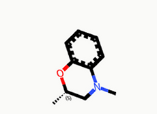 C[C@H]1CN(C)c2ccccc2O1